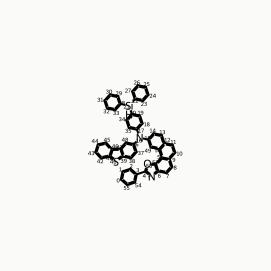 c1ccc(-c2nc3ccc4ccc5ccc(N(c6ccc([SiH](c7ccccc7)c7ccccc7)cc6)c6ccc7sc8ccccc8c7c6)cc5c4c3o2)cc1